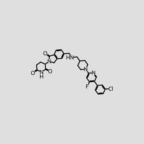 O=C1CCC(N2Cc3cc(CNCC4CCN(c5cc(F)c(-c6cccc(Cl)c6)cn5)CC4)ccc3C2=O)C(=O)N1